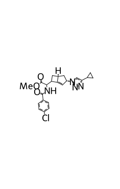 COC(=O)C(NC(=O)c1ccc(Cl)cc1)C1C[C@@H]2C[C@@H](n3cc(C4CC4)nn3)C=C12